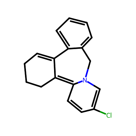 ClC1=CN2Cc3ccccc3C3=CCCCC3=C2C=C1